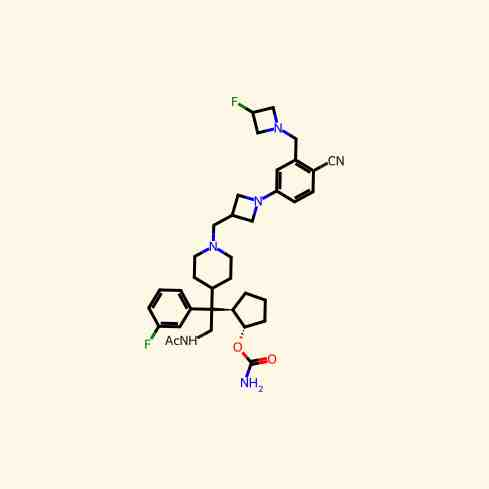 CC(=O)NCC(c1cccc(F)c1)(C1CCN(CC2CN(c3ccc(C#N)c(CN4CC(F)C4)c3)C2)CC1)[C@H]1CCC[C@@H]1OC(N)=O